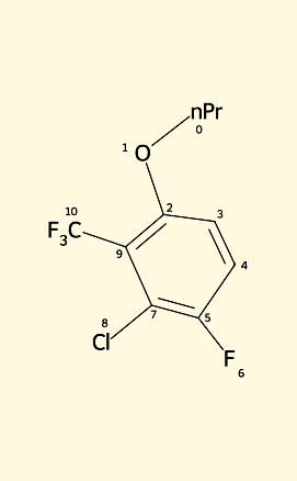 CCCOc1ccc(F)c(Cl)c1C(F)(F)F